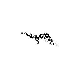 CCCc1nc(Cn2ncc3c(N4CCN(C(=O)C5CCC(CN(CCOC)C(C)(C)C)CC5)CC4)nc(Cl)nc32)cs1